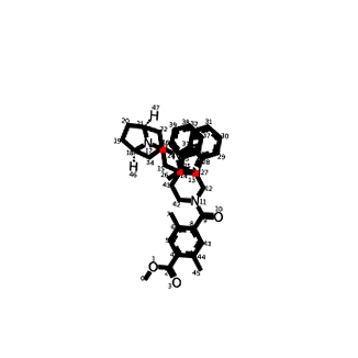 COC(=O)c1cc(C)c(C(=O)N2CCC(CCN3[C@@H]4CC[C@H]3CC(n3c(C)nc5ccccc53)C4)(c3ccccc3)CC2)cc1C